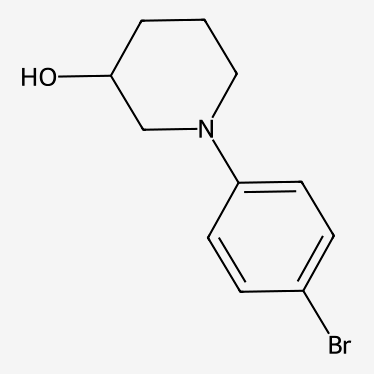 OC1CCCN(c2ccc(Br)cc2)C1